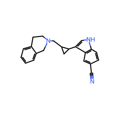 N#Cc1ccc2[nH]cc(C3CC3CN3CCc4ccccc4C3)c2c1